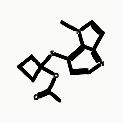 CC(=O)OC1(Sc2ccnc3ccn(C)c23)CCC1